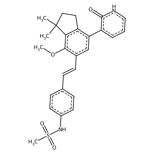 COc1c(/C=C/c2ccc(NS(C)(=O)=O)cc2)cc(-c2ccc[nH]c2=O)c2c1C(C)(C)CC2